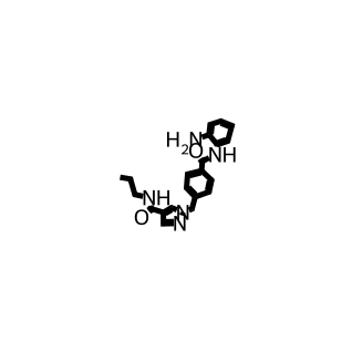 CCCNC(=O)c1cnn(Cc2ccc(C(=O)Nc3ccccc3N)cc2)c1